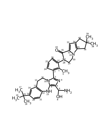 Cc1c(-c2nc(C(N)O)c3n2CCc2cc(C(C)(C)C)ccc2N3)cccc1N1CCn2c(cc3c2CC(C)(C)C3)C1=O